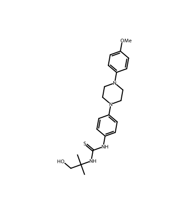 COc1ccc(N2CCN(c3ccc(NC(=S)NC(C)(C)CO)cc3)CC2)cc1